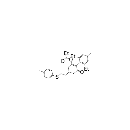 CCC(=O)OC1=C(c2c(CC)cc(C)cc2CC)C(=O)CC(CCSc2ccc(C)cc2)C1